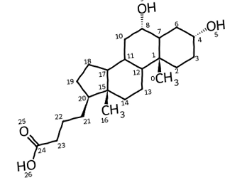 C[C@]12CC[C@@H](O)CC1[C@@H](O)CC1C2CC[C@@]2(C)C1CC[C@@H]2CCCC(=O)O